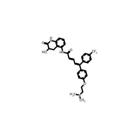 CN(C)CCOc1ccc(C(=CC=CC(=O)Nc2cccc3c2CC(O)C(=O)N3)c2ccc(C(F)(F)F)cc2)cc1